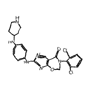 O=C1c2cnc(Nc3ccc(NC4CCNCC4)cc3)nc2OCN1c1c(Cl)cccc1Cl